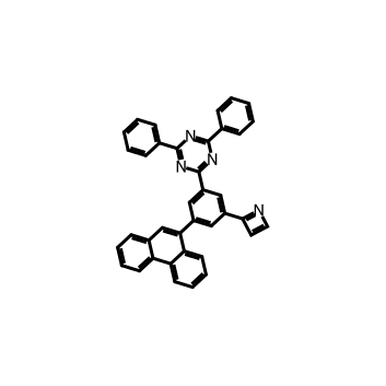 C1=CC(c2cc(-c3nc(-c4ccccc4)nc(-c4ccccc4)n3)cc(-c3cc4ccccc4c4ccccc34)c2)=N1